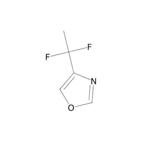 CC(F)(F)c1cocn1